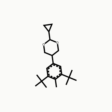 Cc1c(C(C)(C)C)cc(C2COC(C3CC3)OC2)cc1C(C)(C)C